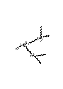 CCCCCCCCC(CCCCCC)C(=O)OCCCCCCOC(=O)[C@@H]1CC(N(C)CCCO)CN1CCCCCCOC(=O)C(CCCCCC)CCCCCCCC